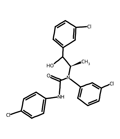 C[C@H](C(O)c1cccc(Cl)c1)N(C(=O)Nc1ccc(Cl)cc1)c1cccc(Cl)c1